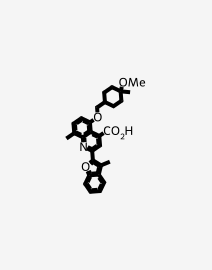 COC1(C)CCC(COc2ccc(C)c3nc(-c4oc5ccccc5c4C)cc(C(=O)O)c23)CC1